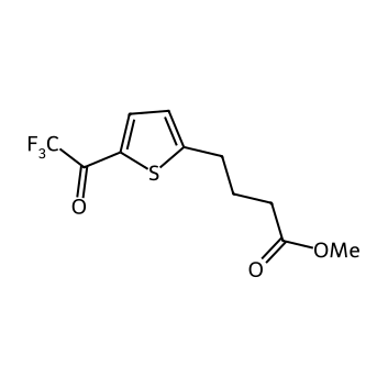 COC(=O)CCCc1ccc(C(=O)C(F)(F)F)s1